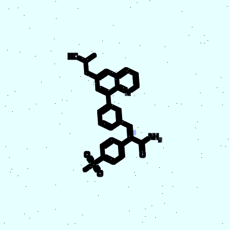 CC(C#N)Cc1cc(-c2cccc(/C=C(/C(N)=O)c3ccc(S(C)(=O)=O)cc3)c2)c2ncccc2c1